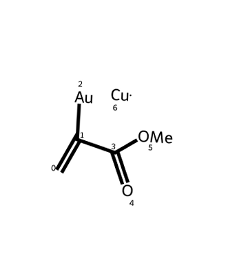 C=[C]([Au])C(=O)OC.[Cu]